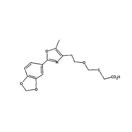 Cc1oc(-c2ccc3c(c2)OCO3)nc1CCOCSCC(=O)O